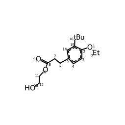 CCOc1ccc(CCC(=O)OCCO)cc1C(C)(C)C